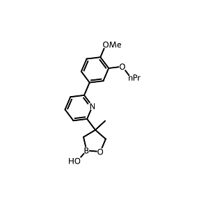 CCCOc1cc(-c2cccc(C3(C)COB(O)C3)n2)ccc1OC